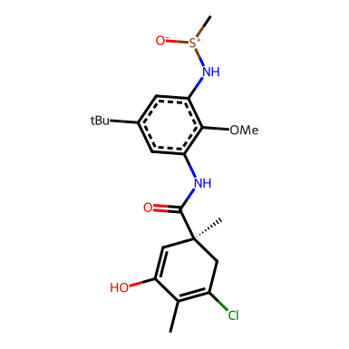 COc1c(NC(=O)[C@]2(C)C=C(O)C(C)=C(Cl)C2)cc(C(C)(C)C)cc1N[S+](C)[O-]